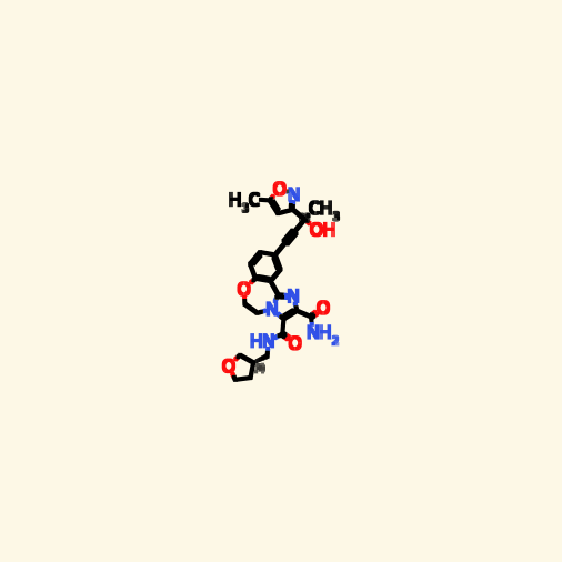 Cc1cc([C@](C)(O)C#Cc2ccc3c(c2)-c2nc(C(N)=O)c(C(=O)NC[C@H]4CCOC4)n2CCO3)no1